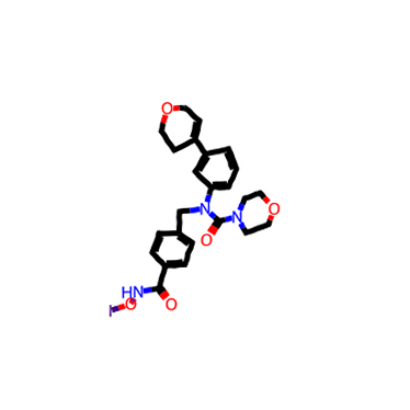 O=C(NOI)c1ccc(CN(C(=O)N2CCOCC2)c2cccc(C3=CCOCC3)c2)cc1